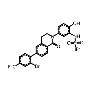 CC(C)S(=O)(=O)Nc1cc(N2CCc3cc(-c4ccc(C(F)(F)F)cc4Br)ccc3C2=O)ccc1O